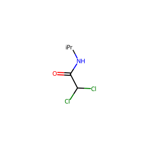 CC(C)NC(=O)C(Cl)Cl